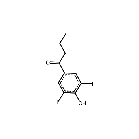 CCCC(=O)c1cc(I)c(O)c(I)c1